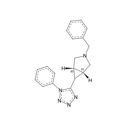 c1ccc(CN2C[C@@H]3C(c4nnnn4-c4ccccc4)[C@@H]3C2)cc1